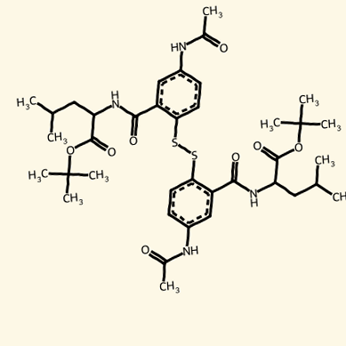 CC(=O)Nc1ccc(SSc2ccc(NC(C)=O)cc2C(=O)NC(CC(C)C)C(=O)OC(C)(C)C)c(C(=O)NC(CC(C)C)C(=O)OC(C)(C)C)c1